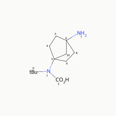 CC(C)(C)N(C(=O)O)C12CCC(N)(CC1)C2